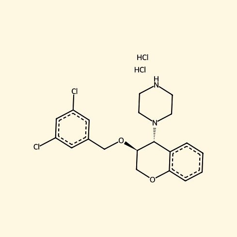 Cl.Cl.Clc1cc(Cl)cc(CO[C@@H]2COc3ccccc3[C@H]2N2CCNCC2)c1